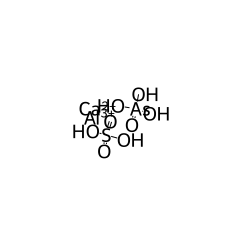 O=S(=O)(O)O.O=[As](O)(O)O.[Al+3].[Ca+2]